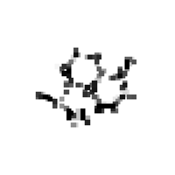 C[C@H](N)C1OCCc2c(F)cccc21